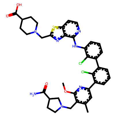 COc1nc(-c2cccc(-c3cccc(Nc4nccc5sc(CN6CCC(C(=O)O)CC6)nc45)c3Cl)c2Cl)cc(C)c1CN1CCC(C(N)=O)C1